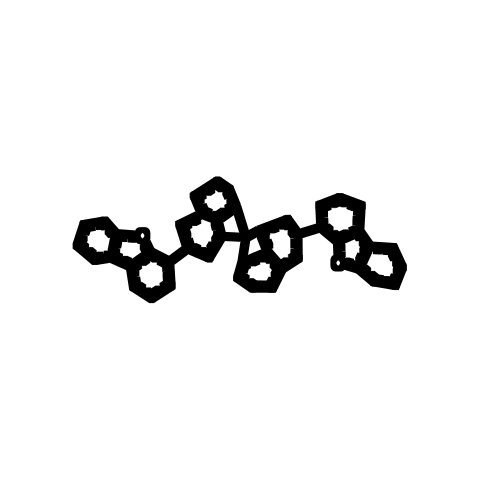 c1cc2c3c(cc(-c4cccc5c4oc4ccccc45)cc3c1)C21c2cccc3cc(-c4cccc5c4oc4ccccc45)cc1c23